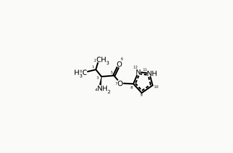 CC(C)[C@H](N)C(=O)Oc1cc[nH]n1